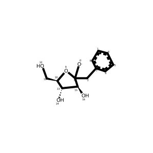 [O]C1(Cc2ccccc2)O[C@H](CO)[C@@H](O)[C@@H]1O